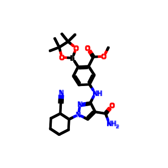 COC(=O)c1cc(Nc2nn(C3CCCCC3C#N)cc2C(N)=O)ccc1B1OC(C)(C)C(C)(C)O1